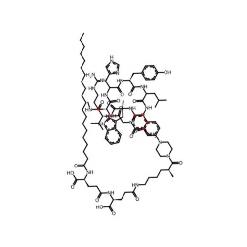 CCCCCCCCCCCCCCCCCCCC(=O)N[C@@H](CCC(=O)N[C@@H](CCC(=O)NCCCC[C@H](C)C(=O)N1CCN(c2ccc3ncn(CC(=O)N[C@@H](CCCNC(=N)N)C(=O)NC(Cc4c[nH]cn4)C(=O)N[C@@H](Cc4ccc(O)cc4)C(=O)NC(CC(C)C)C(=O)N[C@@H](CC(N)=O)C(=O)NC(C)(Cc4c[nH]c5ccccc45)C(=O)N[C@H](C(=O)NC)C(C)C)c(=O)c3c2)CC1)C(=O)O)C(=O)O